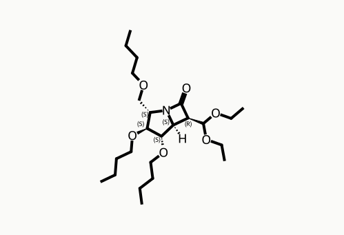 CCCCOC[C@H]1[C@H](OCCCC)[C@@H](OCCCC)[C@@H]2[C@H](C(OCC)OCC)C(=O)N21